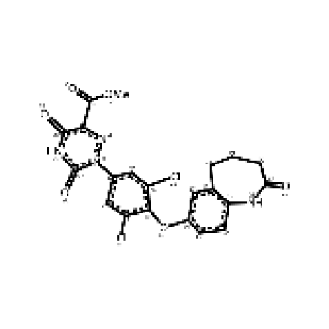 COC(=O)c1nn(-c2cc(Cl)c(Oc3ccc4c(c3)CCCC(=O)N4)c(Cl)c2)c(=O)[nH]c1=O